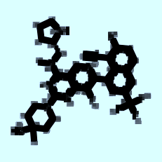 C#Cc1c(F)ccc2cc(C(F)(F)F)cc(-c3ncc4c(N(C)C[C@@H]5CCCN5)nc(N5CCC(C)(O)CC5)nc4c3F)c12